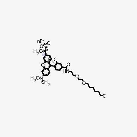 CCCS(=O)(=O)O/[N+](C)=c1\ccc2c(-c3ccc(C(=O)NCCOCCOCCCCCCCl)cc3C)c3ccc(N(C)C)cc3oc-2c1